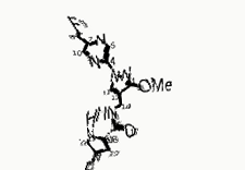 COc1nn(-c2cnc(CF)cn2)cc1CNC(=O)[C@@H]1C[C@@H](F)CN1